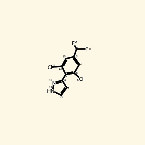 FC(F)c1cc(Cl)c(-c2cc[nH]n2)c(Cl)c1